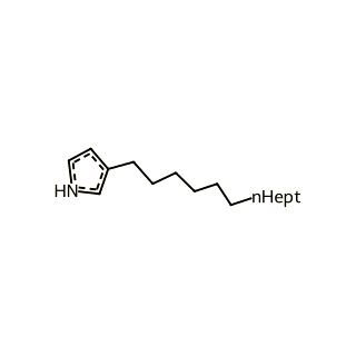 CCCCCCCCCCCCCc1cc[nH]c1